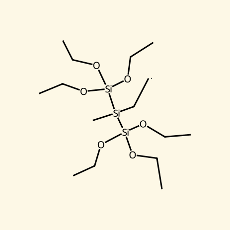 [CH2]C[Si](C)([Si](OCC)(OCC)OCC)[Si](OCC)(OCC)OCC